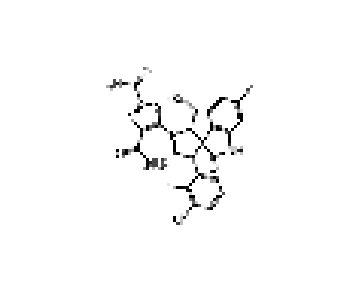 CC(C)(C)C[C@@H]1N(c2sc(C(N)=O)nc2C(N)=O)[C@@H](C(=O)O)[C@H](c2cccc(Cl)c2F)C12C(=O)Nc1cc(Cl)ccc12